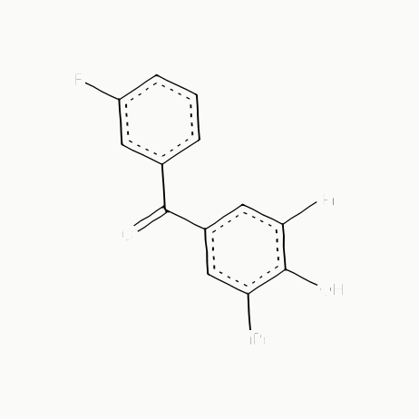 CC(C)c1cc(C(=O)c2cccc(F)c2)cc(C(C)C)c1O